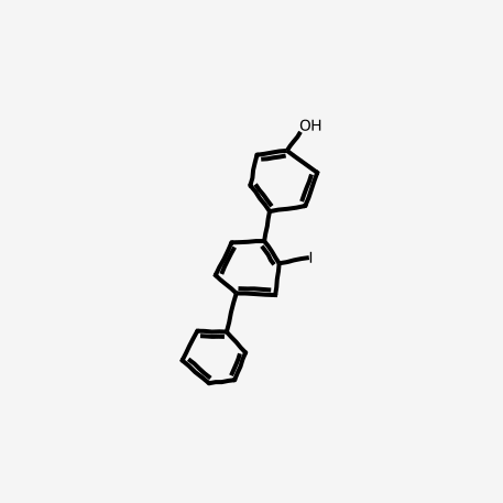 Oc1ccc(-c2ccc(-c3ccccc3)cc2I)cc1